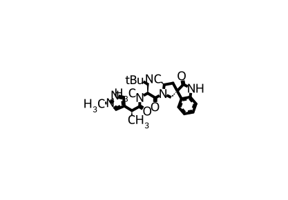 C[C@@H](C(=O)N(C)[C@@H](CC(C)(C)C)C(=O)N1C[C@]2(C[C@H]1C#N)C(=O)Nc1ccccc12)c1cnn(C)c1